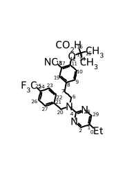 CCc1cnc(N(CCc2ccc(OC(C)(C)C(=O)O)c(C#N)c2)Cc2ccc(C(F)(F)F)cc2)nc1